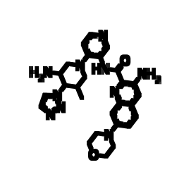 CC1CN(c2ccncc2NC(=O)c2nc3cc(N4CCOCC4)ccc3cc2N)CC(N)C1n1ccnn1